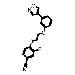 N#Cc1ccc(OCCOc2cccc(-c3cnoc3)c2)c(F)c1